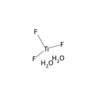 O.O.[F][Ti]([F])[F]